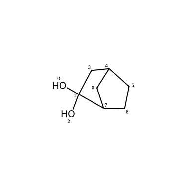 OC1(O)CC2CCC1C2